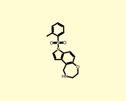 Cc1ccccc1S(=O)(=O)n1ccc2c3c(ccc21)OCCNC3